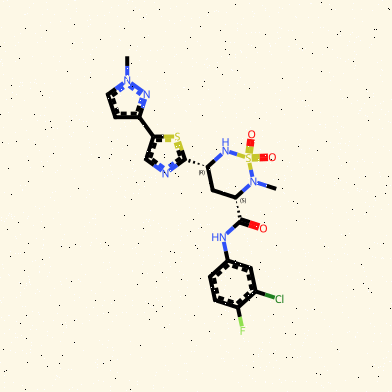 CN1[C@H](C(=O)Nc2ccc(F)c(Cl)c2)C[C@H](c2ncc(-c3ccn(C)n3)s2)NS1(=O)=O